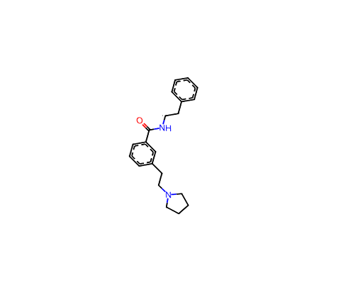 O=C(N[CH]Cc1ccccc1)c1cccc(CCN2CCCC2)c1